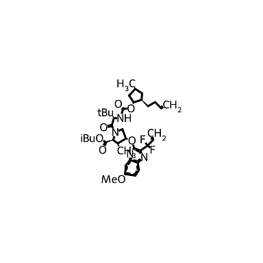 C=CCC[C@@H]1C[C@@H](C)C[C@H]1OC(=O)N[C@H](C(=O)N1C[C@H](Oc2nc3cc(OC)ccc3nc2C(F)(F)C=C)[C@@H](C)[C@H]1C(=O)OCC(C)C)C(C)(C)C